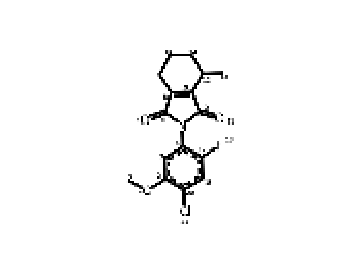 COc1cc(N2C(=O)C3=C(C2=O)C(C)CCC3)c(F)cc1Cl